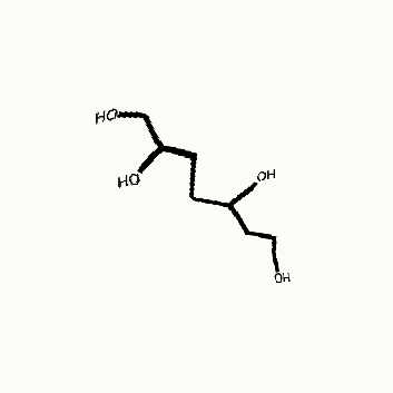 OCCC(O)CCC(O)CO